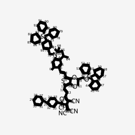 Cc1cc2c(cc1/C=C/c1sc(/C=C/C3=C(C#N)C(=C(C#N)C#N)C(c4ccc(-c5ccccc5)cc4)(C(F)(F)F)O3)c3c1OC(CO[Si](c1ccccc1)(c1ccccc1)c1ccccc1)CO3)C(C)CC(C)(C)N2Cc1ccc([Si](c2ccccc2)(c2ccccc2)c2ccccc2)cc1